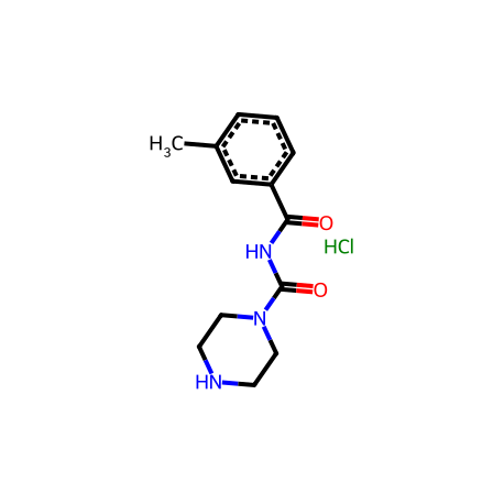 Cc1cccc(C(=O)NC(=O)N2CCNCC2)c1.Cl